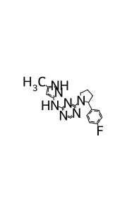 Cc1cc(Nc2ncnc(N3CCCC3c3ccc(F)cc3)n2)n[nH]1